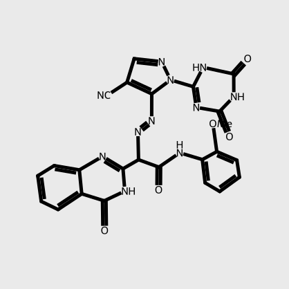 COc1ccccc1NC(=O)C(N=Nc1c(C#N)cnn1-c1nc(=O)[nH]c(=O)[nH]1)c1nc2ccccc2c(=O)[nH]1